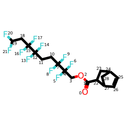 O=C(OCC(F)(F)C(F)(F)CCC(F)(F)C(F)(F)CC(F)F)C1CC2C=CC1C2